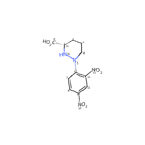 O=C(O)[C@@H]1CCCN(c2ccc([N+](=O)[O-])cc2[N+](=O)[O-])N1